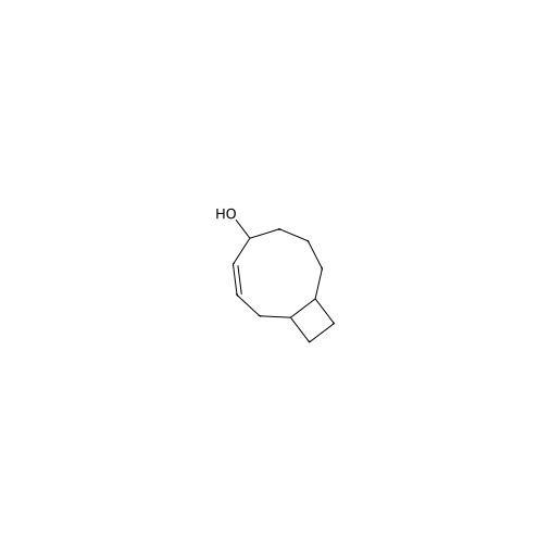 OC1C=CCC2CCC2CCC1